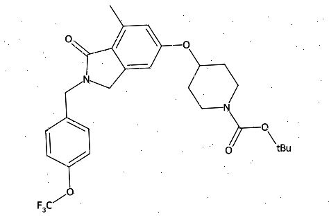 Cc1cc(OC2CCN(C(=O)OC(C)(C)C)CC2)cc2c1C(=O)N(Cc1ccc(OC(F)(F)F)cc1)C2